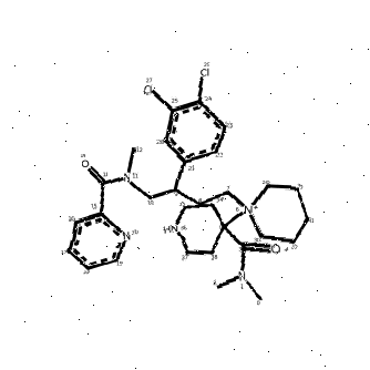 CN(C)C(=O)C1([N+]2(CCC(CN(C)C(=O)c3ccccn3)c3ccc(Cl)c(Cl)c3)CCCCC2)CCNCC1